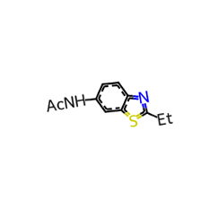 CCc1nc2ccc(NC(C)=O)cc2s1